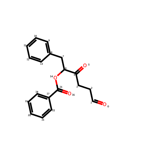 O=CCCC(=O)C(Cc1ccccc1)OC(=O)c1ccccc1